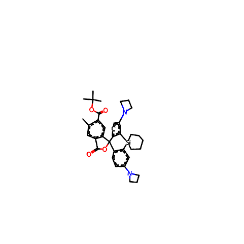 Cc1cc2c(cc1C(=O)OC(C)(C)C)C1(OC2=O)c2ccc(N3CCC3)cc2[Si]2(CCCCC2)c2cc(N3CCC3)ccc21